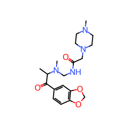 CC(C(=O)c1ccc2c(c1)OCO2)N(C)CNC(=O)CN1CCN(C)CC1